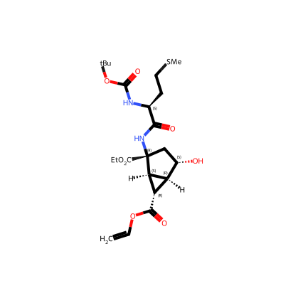 C=COC(=O)[C@H]1[C@H]2[C@@H]1[C@@](NC(=O)[C@H](CCSC)NC(=O)OC(C)(C)C)(C(=O)OCC)C[C@@H]2O